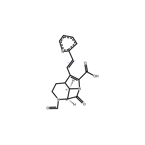 O=CN1CCC2C(/C=C/c3ccccn3)=C(C(=O)O)N3C(=O)[C@@H]1[C@@H]23